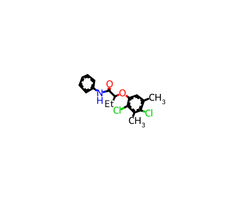 CCC(Oc1cc(C)c(Cl)c(C)c1Cl)C(=O)Nc1ccccc1